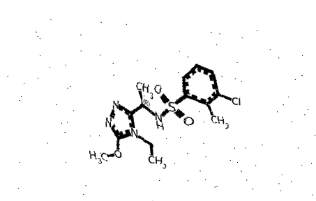 CCn1c(OC)nnc1[C@@H](C)NS(=O)(=O)c1cccc(Cl)c1C